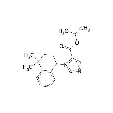 CC(C)OC(=O)c1cncn1C1CCC(C)(C)c2ccccc21